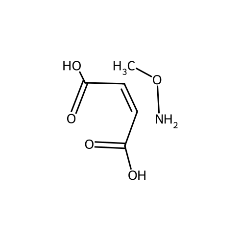 CON.O=C(O)/C=C\C(=O)O